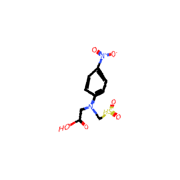 O=C(O)CN(C[SH](=O)=O)c1ccc([N+](=O)[O-])cc1